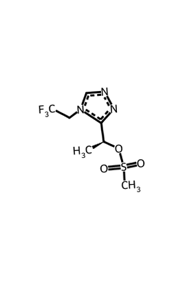 C[C@H](OS(C)(=O)=O)c1nncn1CC(F)(F)F